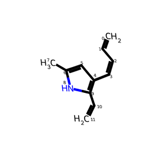 C=C/C=C\c1cc(C)[nH]c1C=C